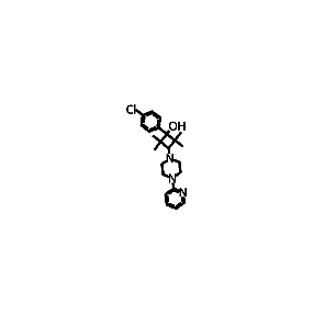 CC1(C)C(N2CCN(c3ccccn3)CC2)C(C)(C)C1(O)c1ccc(Cl)cc1